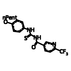 CCCCCOc1ccc(NC(=S)NC(=O)c2ccc(C(F)(F)F)nc2)cc1